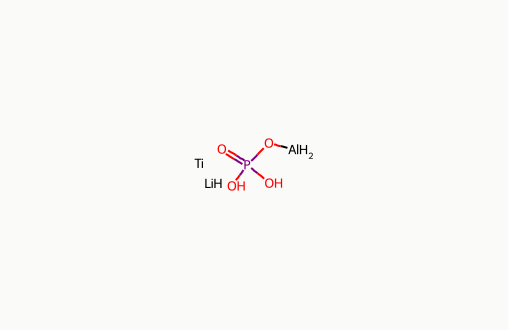 O=P(O)(O)[O][AlH2].[LiH].[Ti]